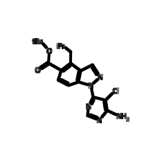 CC(C)Cc1c(C(=O)OC(C)(C)C)ccc2c1cnn2-c1ncnc(N)c1Cl